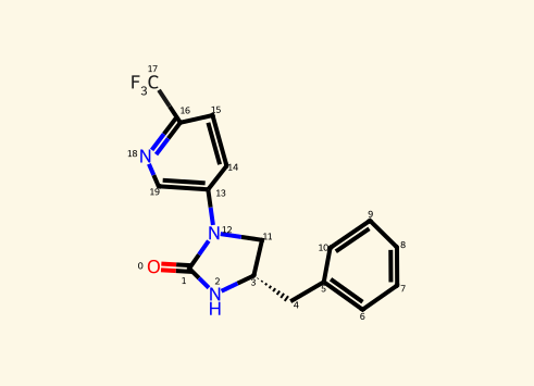 O=C1N[C@@H](Cc2ccccc2)CN1c1ccc(C(F)(F)F)nc1